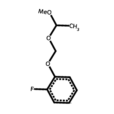 COC(C)OCOc1cc[c]cc1F